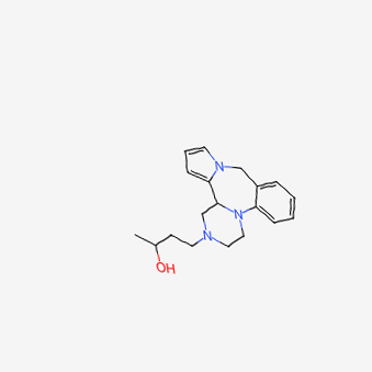 CC(O)CCN1CCN2c3ccccc3Cn3cccc3C2C1